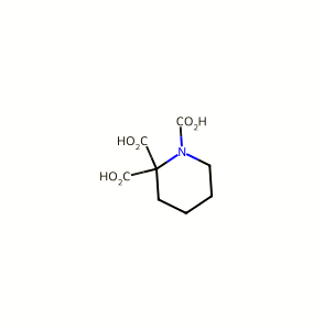 O=C(O)N1CCCCC1(C(=O)O)C(=O)O